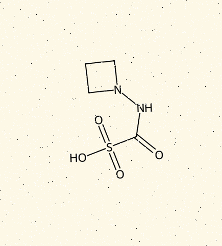 O=C(NN1CCC1)S(=O)(=O)O